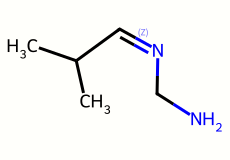 CC(C)/C=N\CN